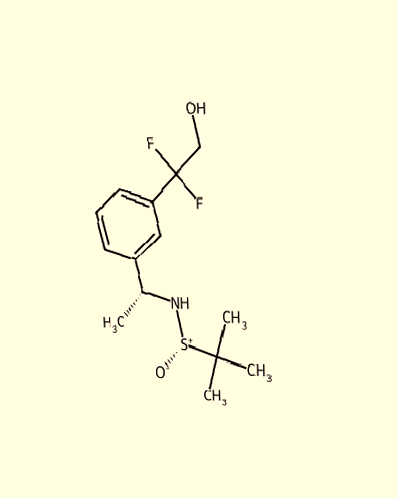 C[C@@H](N[S@@+]([O-])C(C)(C)C)c1cccc(C(F)(F)CO)c1